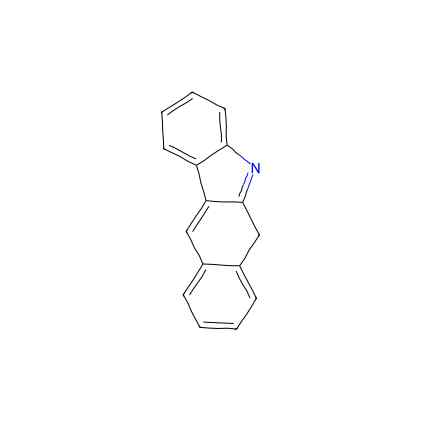 C1=C2C(=Nc3ccccc32)Cc2ccccc21